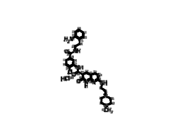 CN1CCN(CCNc2ncc3cc(C(=O)Nc4cc(C(=O)NCCc5ccccc5N)ccc4Cl)c(=O)[nH]c3n2)CC1.Cl